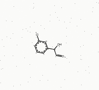 O=CC(O)c1cccc(Cl)c1